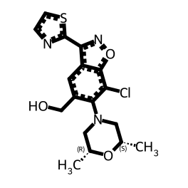 C[C@@H]1CN(c2c(CO)cc3c(-c4nccs4)noc3c2Cl)C[C@H](C)O1